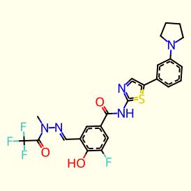 CN(/N=C/c1cc(C(=O)Nc2ncc(-c3cccc(N4CCCC4)c3)s2)cc(F)c1O)C(=O)C(F)(F)F